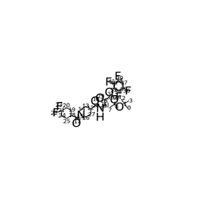 CC(C)(C)OC(=O)C[C@H](NC(=O)C1CCN(C(=O)C2CCC(F)(F)CC2)CC1)C(=O)COc1c(F)c(F)cc(F)c1F